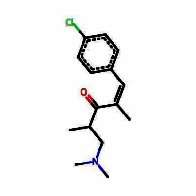 CC(=Cc1ccc(Cl)cc1)C(=O)C(C)CN(C)C